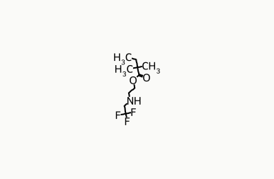 CCC(C)(C)C(=O)OCCNCC(F)(F)F